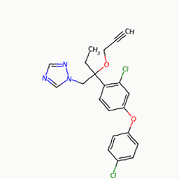 C#CCOC(CC)(Cn1cncn1)c1ccc(Oc2ccc(Cl)cc2)cc1Cl